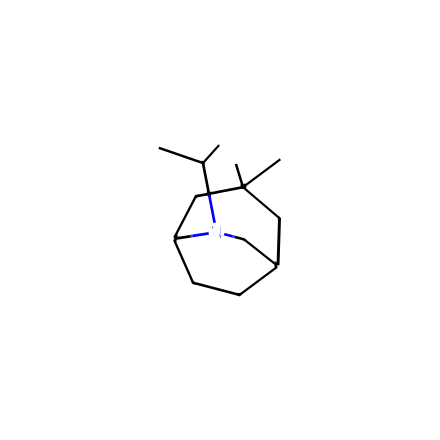 CC(C)N1CC2CCC1CC(C)(C)C2